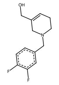 OCC1=CCCN(Cc2ccc(F)c(F)c2)C1